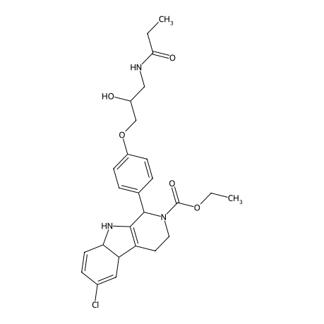 CCOC(=O)N1CCC2=C(NC3C=CC(Cl)=CC23)C1c1ccc(OCC(O)CNC(=O)CC)cc1